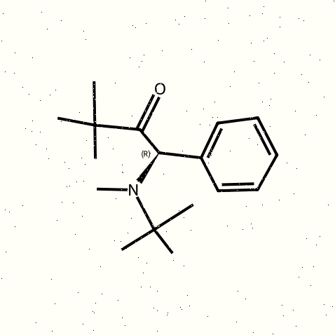 CN([C@@H](C(=O)C(C)(C)C)c1ccccc1)C(C)(C)C